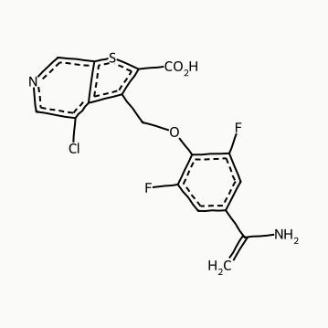 C=C(N)c1cc(F)c(OCc2c(C(=O)O)sc3cncc(Cl)c23)c(F)c1